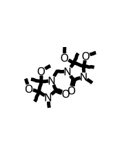 COC1(C)N(C)C(=O)N(CN2C(=O)N(C)C(C)(OC)C2(C)OC)C1(C)OC